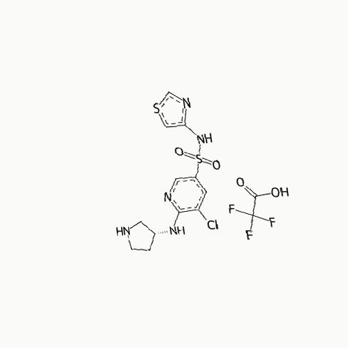 O=C(O)C(F)(F)F.O=S(=O)(Nc1cscn1)c1cnc(N[C@@H]2CCNC2)c(Cl)c1